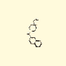 O=C(c1ccc2ccccc2c1)N1CCC2(CC=NO2)CC1